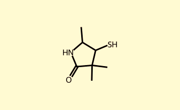 CC1NC(=O)C(C)(C)C1S